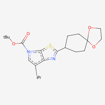 CC(C)c1cn(C(=O)OC(C)(C)C)c2sc(C3CCC4(CC3)OCCO4)nc12